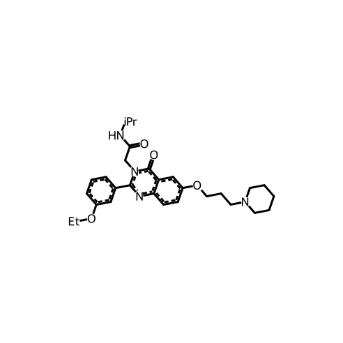 CCOc1cccc(-c2nc3ccc(OCCCN4CCCCC4)cc3c(=O)n2CC(=O)NC(C)C)c1